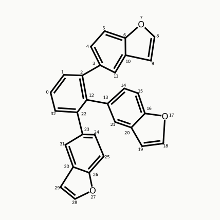 c1cc(-c2ccc3occc3c2)c(-c2ccc3occc3c2)c(-c2ccc3occc3c2)c1